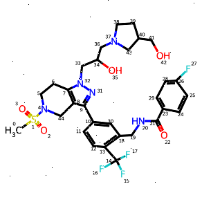 CS(=O)(=O)N1CCc2c(c(-c3ccc(C(F)(F)F)c(CNC(=O)c4ccc(F)cc4)c3)nn2CC(O)CN2CCC(CO)C2)C1